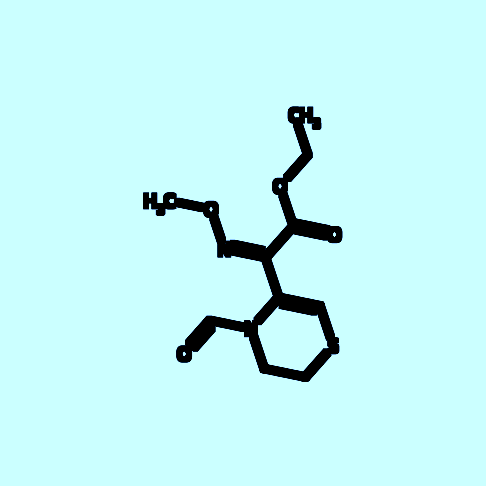 CCOC(=O)/C(=N\OC)C1=CSCCN1C=O